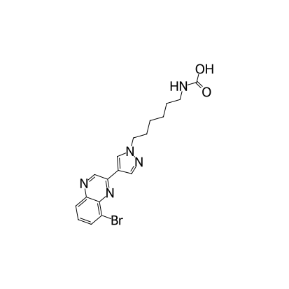 O=C(O)NCCCCCCn1cc(-c2cnc3cccc(Br)c3n2)cn1